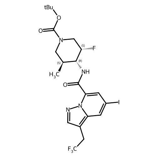 C[C@H]1CN(C(=O)OC(C)(C)C)C[C@H](F)[C@@H]1NC(=O)c1cc(I)cc2c(CC(F)(F)F)cnn12